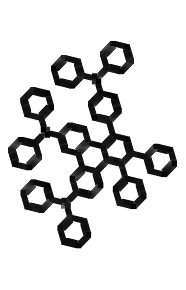 c1ccc(-c2cc(-c3ccc(N(c4ccccc4)c4ccccc4)cc3)c3c4ccc(N(c5ccccc5)c5ccccc5)cc4c4cc(N(c5ccccc5)c5ccccc5)ccc4c3c2-c2ccccc2)cc1